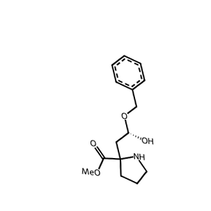 COC(=O)C1(C[C@@H](O)OCc2ccccc2)CCCN1